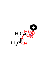 CC(O)COC(C)COP(=O)(O)Oc1ccccc1